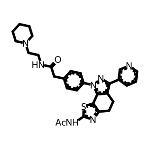 CC(=O)Nc1nc2c(s1)-c1c(c(-c3cccnc3)nn1-c1ccc(CC(=O)NCCN3CCCCC3)cc1)CC2